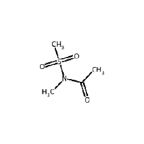 CC(=O)N(C)S(C)(=O)=O